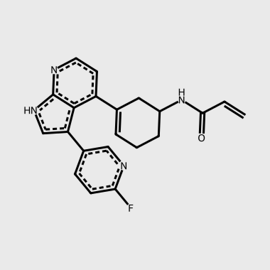 C=CC(=O)NC1CCC=C(c2ccnc3[nH]cc(-c4ccc(F)nc4)c23)C1